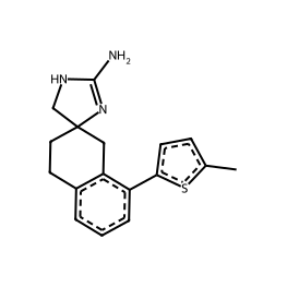 Cc1ccc(-c2cccc3c2CC2(CC3)CNC(N)=N2)s1